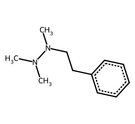 CN(C)N(C)CCc1ccccc1